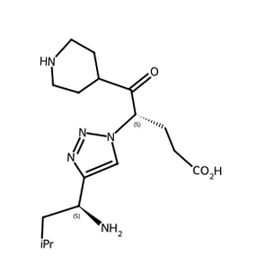 CC(C)C[C@H](N)c1cn([C@@H](CCC(=O)O)C(=O)C2CCNCC2)nn1